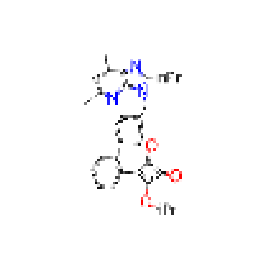 CCCc1nc2c(C)cc(C)nc2n1Cc1ccc(-c2ccccc2-c2c(OC(C)C)c(=O)c2=O)cc1